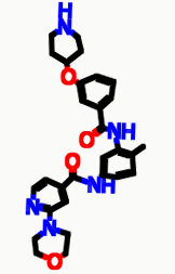 Cc1ccc(NC(=O)c2ccnc(N3CCOCC3)c2)cc1NC(=O)c1cccc(OC2CCNCC2)c1